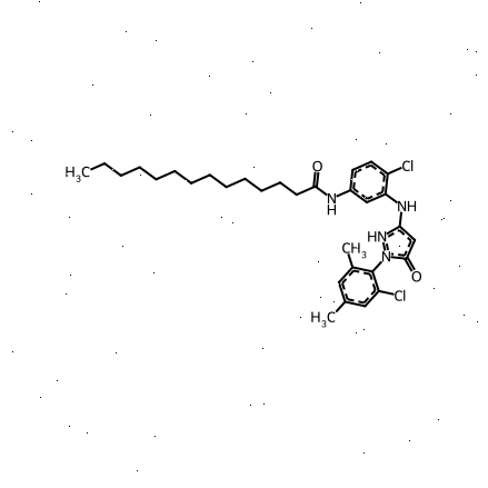 CCCCCCCCCCCCCC(=O)Nc1ccc(Cl)c(Nc2cc(=O)n(-c3c(C)cc(C)cc3Cl)[nH]2)c1